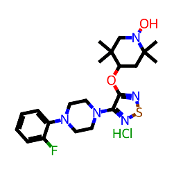 CC1(C)CN(O)C(C)(C)CC1Oc1nsnc1N1CCN(c2ccccc2F)CC1.Cl